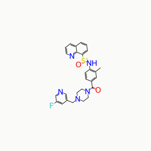 Cc1cc(C(=O)N2CCN(Cc3cncc(F)c3)CC2)ccc1N[S+]([O-])c1cccc2cccnc12